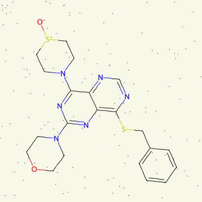 [O-][S+]1CCN(c2nc(N3CCOCC3)nc3c(SCc4ccccc4)ncnc23)CC1